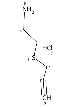 C#CCSCCN.Cl